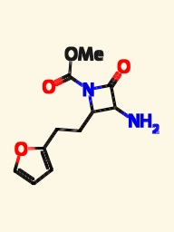 COC(=O)N1C(=O)C(N)C1CCc1ccco1